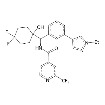 CCn1cc(-c2cccc(C(NC(=O)c3ccnc(C(F)(F)F)c3)C3(O)CCC(F)(F)CC3)c2)cn1